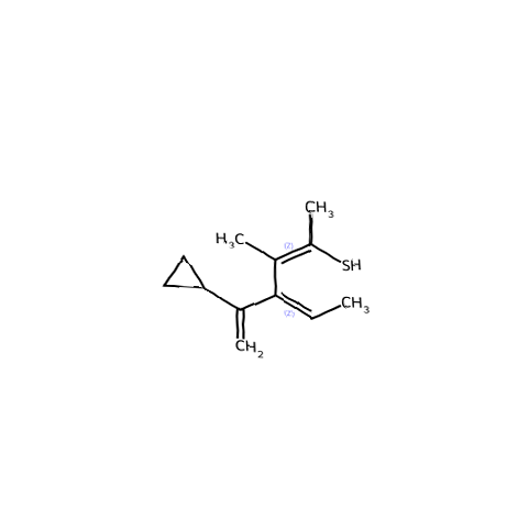 C=C(C(=C/C)/C(C)=C(/C)S)C1CC1